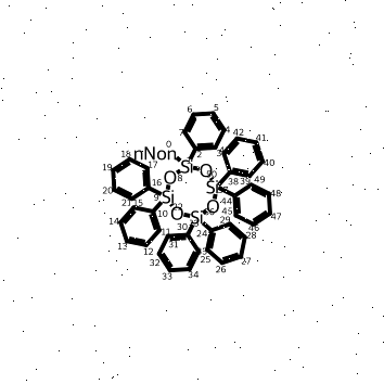 [CH2]CCCCCCCC[Si]1(c2ccccc2)O[Si](c2ccccc2)(c2ccccc2)O[Si](c2ccccc2)(c2ccccc2)O[Si](c2ccccc2)(c2ccccc2)O1